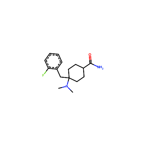 CN(C)C1(Cc2ccccc2F)CCC(C(N)=O)CC1